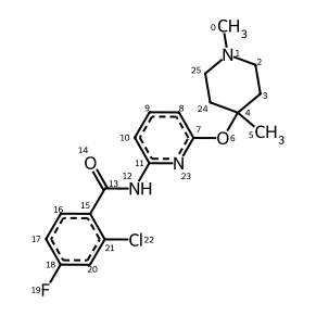 CN1CCC(C)(Oc2cccc(NC(=O)c3ccc(F)cc3Cl)n2)CC1